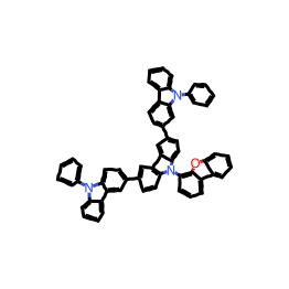 c1ccc(-n2c3ccccc3c3cc(-c4ccc5c(c4)c4cc(-c6ccc7c8ccccc8n(-c8ccccc8)c7c6)ccc4n5-c4cccc5c4oc4ccccc45)ccc32)cc1